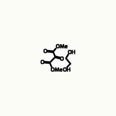 COC(=O)C(=O)C(=O)OC.OCCO